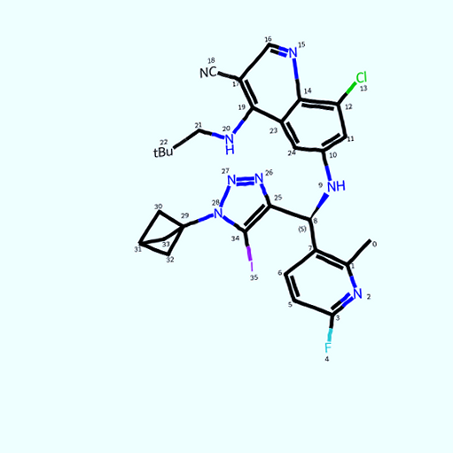 Cc1nc(F)ccc1[C@H](Nc1cc(Cl)c2ncc(C#N)c(NCC(C)(C)C)c2c1)c1nnn(C23CC(C2)C3)c1I